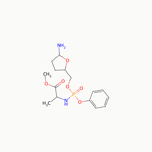 COC(=O)C(C)NP(=O)(OCC1CCC(N)O1)Oc1ccccc1